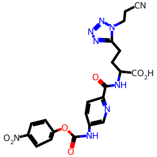 N#CCCn1nnnc1CCC(NC(=O)c1ccc(NC(=O)Oc2ccc([N+](=O)[O-])cc2)cn1)C(=O)O